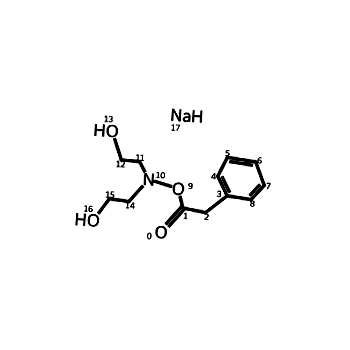 O=C(Cc1ccccc1)ON(CCO)CCO.[NaH]